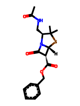 CC(=O)NC[C@@H]1N2C(=O)[C@@H](C(=O)OCc3ccccc3)[C@H]2SC1(C)C